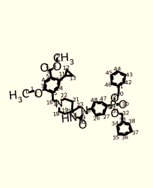 CCOc1cc(C(=O)OC)c(C2CC2)cc1CN1CCC2(CC1)CN(c1ccc(P(=O)(OCc3ccccc3)OCc3ccccc3)cc1)C(=O)N2